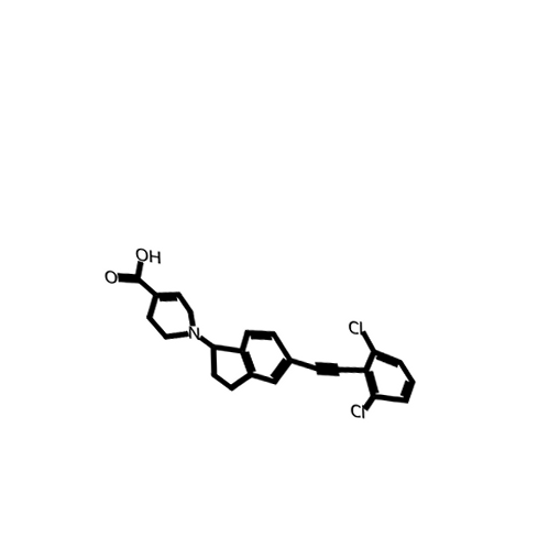 O=C(O)C1=CCN(C2CCc3cc(C#Cc4c(Cl)cccc4Cl)ccc32)CC1